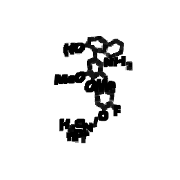 CCCN(C)CCOc1ccc(Cc2c(N)c(-c3c(O)ccc4c3CCCC4)cc(OC)c2OC)cc1F